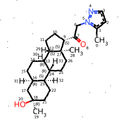 Cc1ccnn1CC(=O)[C@H]1CC[C@H]2[C@@H]3CC[C@@H]4C[C@](C)(O)CC[C@@H]4[C@H]3CC[C@]12C